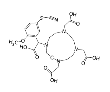 COc1ccc(SC#N)cc1C(C(=O)O)N1CCN(CC(=O)O)CCN(CC(=O)O)CCN(CC(=O)O)CC1